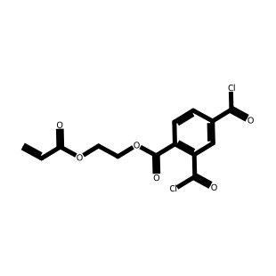 C=CC(=O)OCCOC(=O)c1ccc(C(=O)Cl)cc1C(=O)Cl